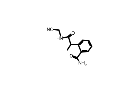 CC(C(=O)NCC#N)c1ccccc1C(N)=O